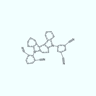 N#Cc1cc(C#N)cc(-n2c3ccccc3c3c4c5ccccc5n(-c5c(C#N)cccc5C#N)c4ccc32)c1